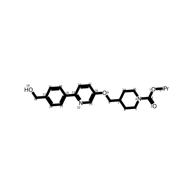 CC(C)OC(=O)N1CCC(COc2ccc(-c3ccc(CO)cc3)nc2)CC1